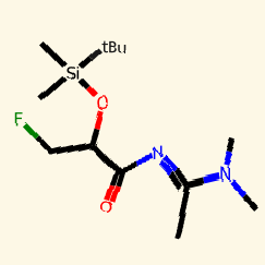 C/C(=N\C(=O)C(CF)O[Si](C)(C)C(C)(C)C)N(C)C